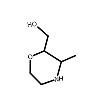 CC1NCCOC1CO